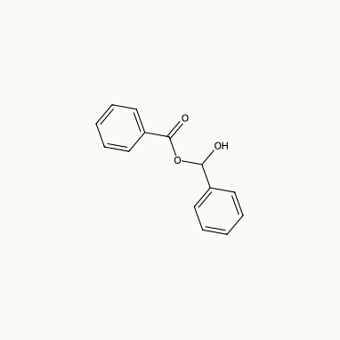 O=C(OC(O)c1ccccc1)c1ccccc1